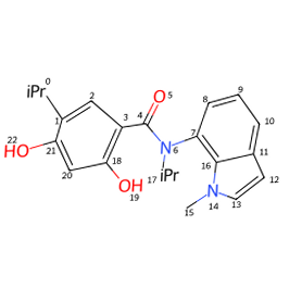 CC(C)c1cc(C(=O)N(c2cccc3ccn(C)c23)C(C)C)c(O)cc1O